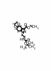 CCOC(=O)c1nn(CCNC(=O)OC(C)(C)C)c2c1CC1(CC2)OCCO1